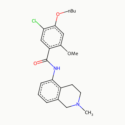 CCCCOc1cc(OC)c(C(=O)Nc2cccc3c2CCN(C)C3)cc1Cl